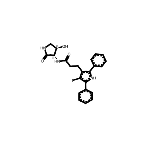 O=C(CCc1c(-c2ccccc2)[nH]c(-c2ccccc2)c1I)N[C@@H]1C(=O)NC[C@H]1O